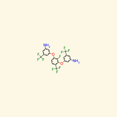 Nc1cc(Oc2ccc(C(F)(F)F)c(Oc3cc(N)cc(C(F)(F)F)c3)c2F)cc(C(F)(F)F)c1